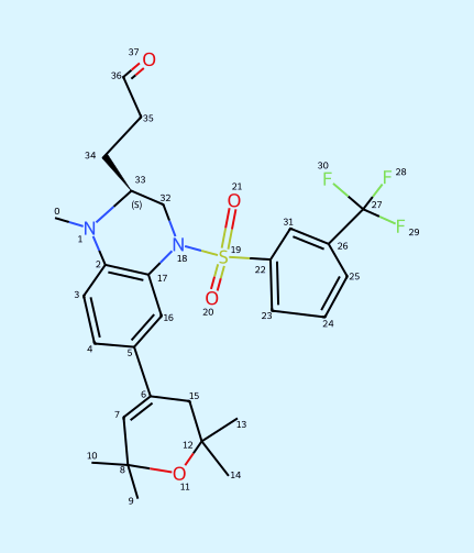 CN1c2ccc(C3=CC(C)(C)OC(C)(C)C3)cc2N(S(=O)(=O)c2cccc(C(F)(F)F)c2)C[C@@H]1CCC=O